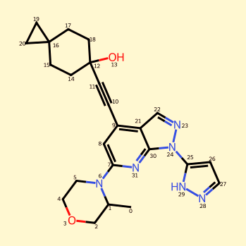 CC1COCCN1c1cc(C#CC2(O)CCC3(CC2)CC3)c2cnn(-c3ccn[nH]3)c2n1